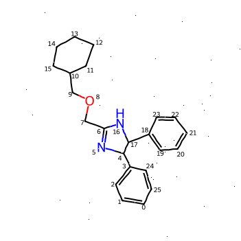 c1ccc(C2N=C(COCC3CCCCC3)NC2c2ccccc2)cc1